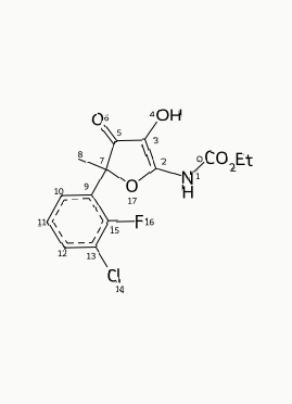 CCOC(=O)NC1=C(O)C(=O)C(C)(c2cccc(Cl)c2F)O1